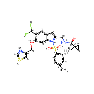 Cc1ccc(S(=O)(=O)n2c(CNC(=O)C3(C)CC3)cc3cc(C(F)F)c(OCc4cscn4)cc32)cc1